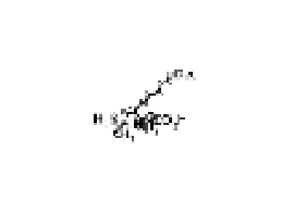 CC(=O)O.CCCCCCCCCCCCCCCCC(CCN(C)C)C(N)=O